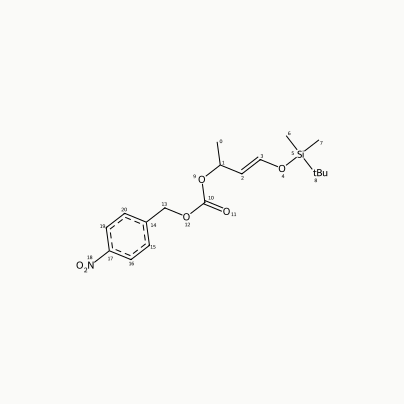 CC(C=CO[Si](C)(C)C(C)(C)C)OC(=O)OCc1ccc([N+](=O)[O-])cc1